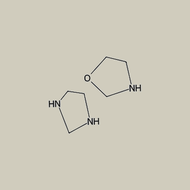 C1CNCN1.C1COCN1